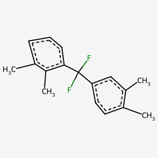 Cc1ccc(C(F)(F)c2cccc(C)c2C)cc1C